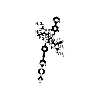 COC(=O)NC(C(=O)N[C@@H](Cc1ccc(C#Cc2cnc(N3CCN(C4COC4)CC3)nc2)cc1)[C@@H](O)CN(Cc1c(F)cc(-c2ncccn2)cc1F)NC(=O)[C@@H](NC(=O)OC)C(C)(C)C(F)(F)F)C(C)(C)C(F)(F)F